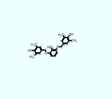 Cc1cc(COc2cccc(OCc3cc(C)c(O)c(C)c3)c2O)cc(C)c1O